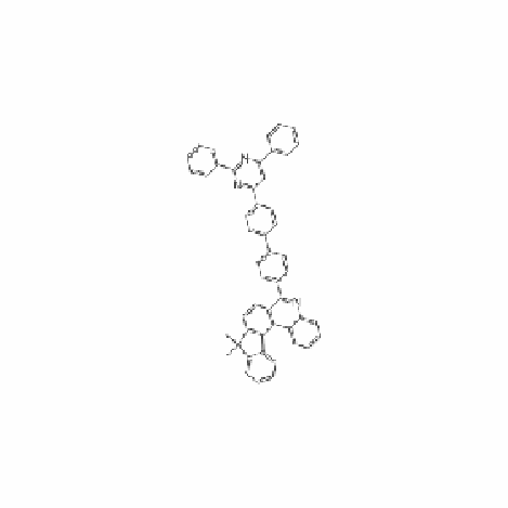 CC1(C)c2ccccc2-c2c1ccc1c(-c3ccc(-c4ccc(-c5cc(-c6ccccc6)nc(-c6ccccc6)n5)cc4)cc3)nc3ccccc3c21